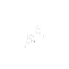 Oc1cc2c(cc1CNc1ccc(F)cc1F)OCC2